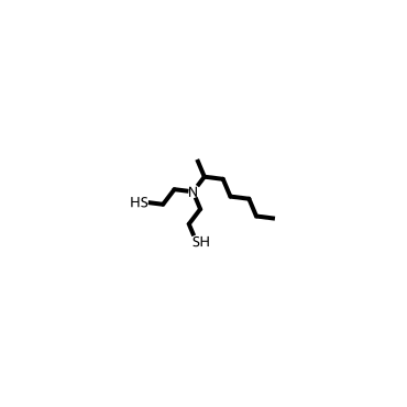 CCCCCC(C)N(CCS)CCS